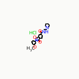 COc1cccc(N2C(=O)c3ccc(C(=O)NCCN4CCCCC4)cc3C2=O)c1.Cl